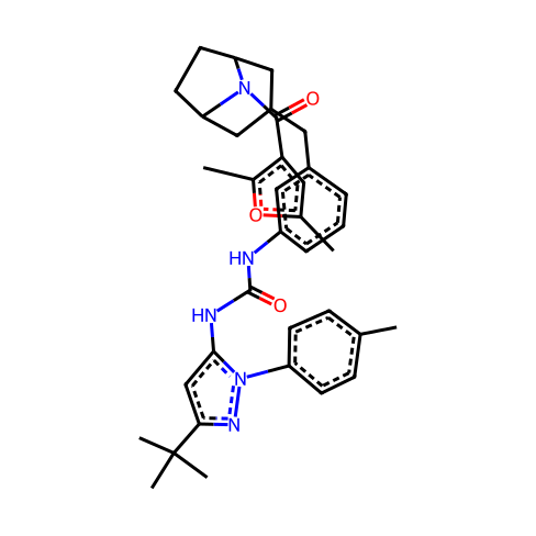 Cc1ccc(-n2nc(C(C)(C)C)cc2NC(=O)Nc2cccc(CC3CC4CCC(C3)N4C(=O)c3cc(C)oc3C)c2)cc1